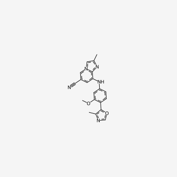 COc1cc(Nc2cc(C#N)cn3cc(C)nc23)ccc1-c1ocnc1C